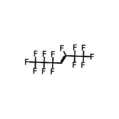 FC(=CC(F)(F)C(F)(F)C(F)(F)F)C(F)(F)C(F)(F)F